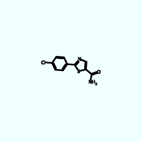 NC(=O)c1cnc(-c2ccc(Cl)cc2)s1